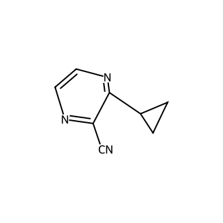 N#Cc1nccnc1C1CC1